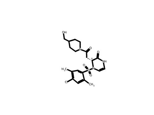 Cc1cc(S(=O)(=O)N2C=CNC(=O)[C@H]2CC(=O)N2CCC(CO)CC2)c(C)cc1Cl